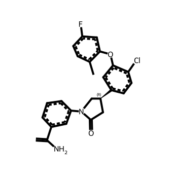 C=C(N)c1cccc(N2C[C@@H](c3ccc(Cl)c(Oc4cc(F)ccc4C)c3)CC2=O)c1